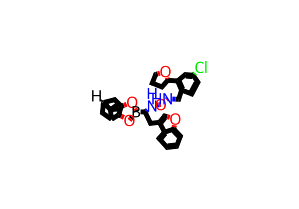 CC1(C)C2C[C@H]1CC1OB(C(Cc3coc4ccccc34)NONCc3ccc(Cl)cc3C3CCCO3)OC12